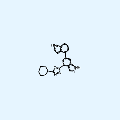 c1cc(-c2cc(-c3nnc(C4CCCCC4)o3)c3cn[nH]c3c2)c2cc[nH]c2c1